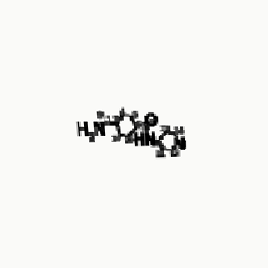 C[C@@H](N)[C@H]1CC[C@H](C(=O)NC2=CC=NCC2)CC1